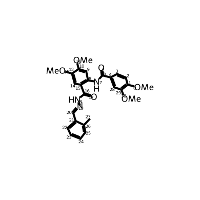 COc1ccc(C(=O)Nc2cc(OC)c(OC)cc2C(=O)NN=Cc2ccccc2C)cc1OC